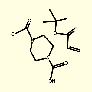 C=CC(=O)OC(C)(C)C.O=C(O)N1CCN(C(=O)Cl)CC1